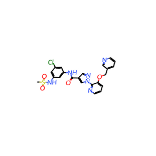 CS(=O)(=O)Nc1cc(Cl)cc(NC(=O)c2cnn(-c3ncccc3OCc3cccnc3)c2)c1